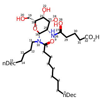 CCCCCCCCCCCCCCCCCC(=O)N(CCCCCCCCCCCCCC)[C@@H]1O[C@H](CO)[C@H](O)[C@H](O)[C@@H]1NC(=O)CCCC(=O)O